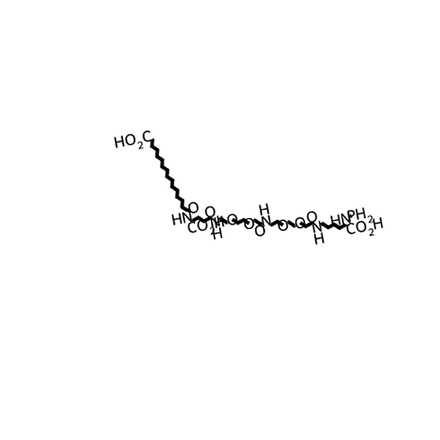 O=C(O)CCCCCCCCCCCCCCC(=O)NC(CCC(=O)NCCOCCOCC(=O)NCCOCCOCC(=O)NCCCC[C@H](NP)C(=O)O)C(=O)O